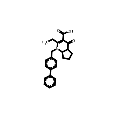 CCC1=C(C(=O)O)C(=O)C2CCCC2N1Cc1ccc(-c2ccccc2)cc1